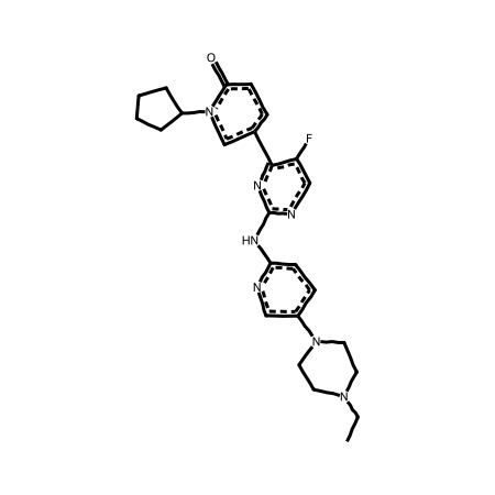 CCN1CCN(c2ccc(Nc3ncc(F)c(-c4ccc(=O)n(C5CCCC5)c4)n3)nc2)CC1